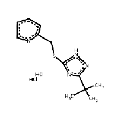 CC(C)(C)c1n[nH]c(SCc2ccccn2)n1.Cl.Cl